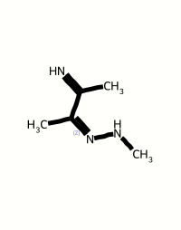 CN/N=C(/C)C(C)=N